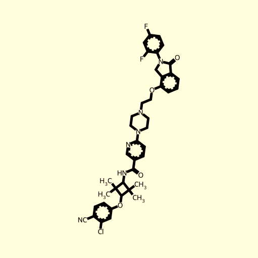 CC1(C)C(NC(=O)c2ccc(N3CCN(CCOc4cccc5c4CN(c4ccc(F)cc4F)C5=O)CC3)nc2)C(C)(C)C1Oc1ccc(C#N)c(Cl)c1